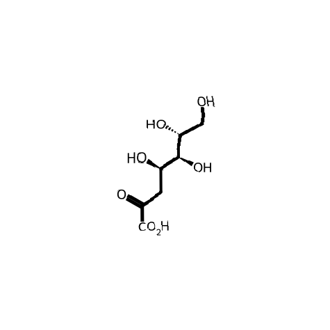 O=C(O)C(=O)C[C@@H](O)[C@H](O)[C@H](O)CO